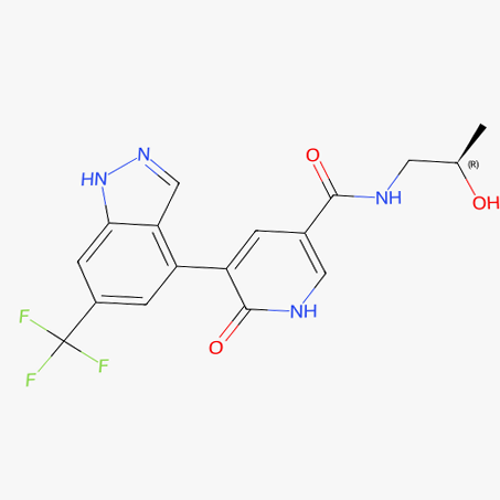 C[C@@H](O)CNC(=O)c1c[nH]c(=O)c(-c2cc(C(F)(F)F)cc3[nH]ncc23)c1